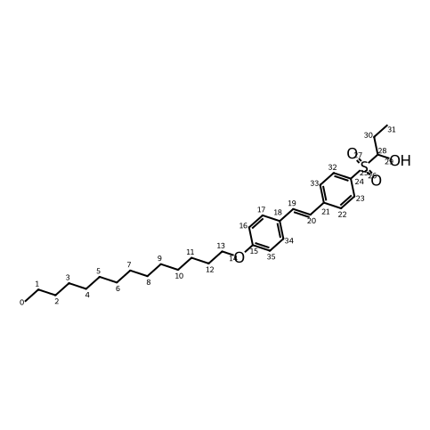 CCCCCCCCCCCCCCOc1ccc(C=Cc2ccc(S(=O)(=O)C(O)CC)cc2)cc1